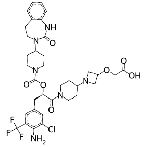 Nc1c(Cl)cc(C[C@@H](OC(=O)N2CCC(N3CCc4ccccc4NC3=O)CC2)C(=O)N2CCC(N3CC(OCC(=O)O)C3)CC2)cc1C(F)(F)F